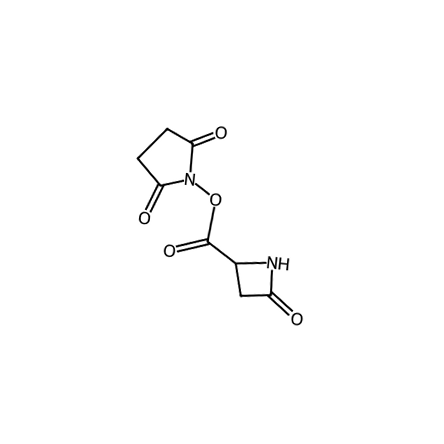 O=C1CC(C(=O)ON2C(=O)CCC2=O)N1